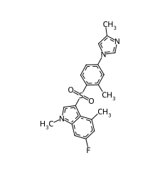 Cc1cn(-c2ccc(S(=O)(=O)c3cn(C)c4cc(F)cc(C)c34)c(C)c2)cn1